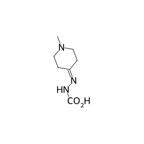 CN1CCC(=NNC(=O)O)CC1